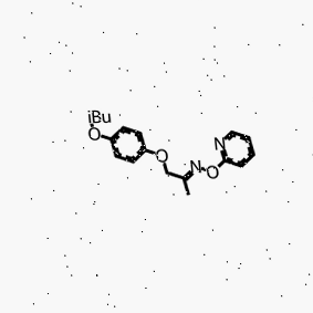 CCC(C)Oc1ccc(OCC(C)=NOc2ccccn2)cc1